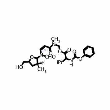 CC(C)C(NC(=O)Oc1ccccc1)C(=O)OCN(C)C(=O)/C=C\N(C=O)C1OC(CO)C[C@@]1(C)F